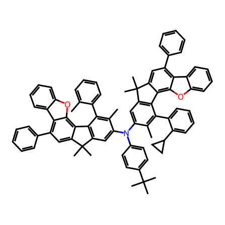 Cc1ccccc1-c1c(C)c(N(c2ccc(C(C)(C)C)cc2)c2cc3c(c(-c4ccccc4C4CC4)c2C)-c2c(cc(-c4ccccc4)c4c2oc2ccccc24)C3(C)C)cc2c1-c1c(cc(-c3ccccc3)c3c1oc1ccccc13)C2(C)C